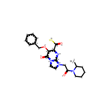 CC1CCCCN1C(=O)Cn1ccn2c(=O)c(OCc3ccccc3)c(C(=O)S)nc12